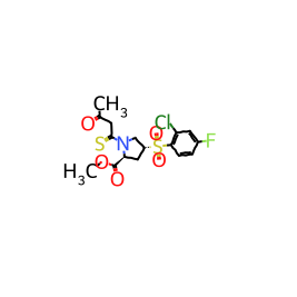 COC(=O)[C@@H]1C[C@@H](S(=O)(=O)c2ccc(F)cc2Cl)CN1C(=S)CC(C)=O